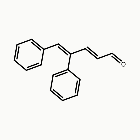 O=[C]C=CC(=Cc1ccccc1)c1ccccc1